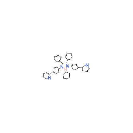 c1ccc(B2N(c3ccc(-c4cccnc4)cc3)C(c3ccccc3)C(c3ccccc3)N2c2ccc(-c3ccccn3)cc2)cc1